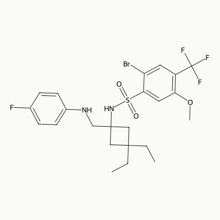 CCC1(CC)CC(CNc2ccc(F)cc2)(NS(=O)(=O)c2cc(OC)c(C(F)(F)F)cc2Br)C1